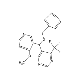 COc1ncncc1C(OCc1ccccc1)c1cncnc1C(F)(F)F